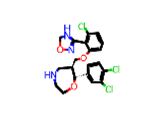 Clc1ccc([C@@H]2OCCNC[C@H]2COc2cccc(Cl)c2C2=NOCN2)cc1Cl